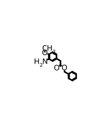 COc1ccc(CC(=O)OCc2ccccc2)cc1N